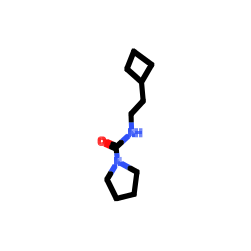 O=C(NCCC1CCC1)N1CCCC1